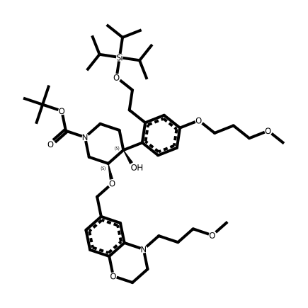 COCCCOc1ccc([C@@]2(O)CCN(C(=O)OC(C)(C)C)C[C@@H]2OCc2ccc3c(c2)N(CCCOC)CCO3)c(CCO[Si](C(C)C)(C(C)C)C(C)C)c1